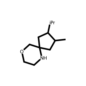 CC(C)C1CC2(COCCN2)CC1C